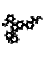 CNC(=O)c1cccc(-c2ccc3c(N4CCOC[C@@H]4C)nc(N4CCO[C@@H]5CCCC[C@@H]54)nc3n2)c1